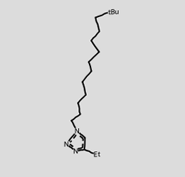 CCc1cn(CCCCCCCCCCCC(C)(C)C)nn1